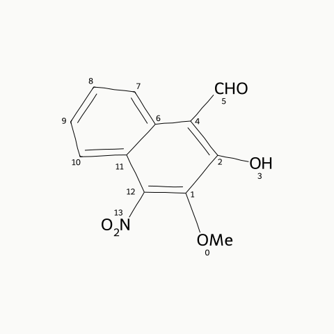 COc1c(O)c(C=O)c2ccccc2c1[N+](=O)[O-]